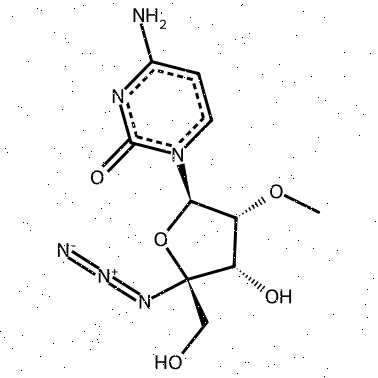 CO[C@H]1[C@H](n2ccc(N)nc2=O)O[C@@](CO)(N=[N+]=[N-])[C@H]1O